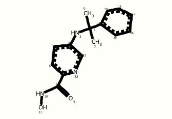 CC(C)(Nc1ccc(C(=O)NO)nc1)c1ccccc1